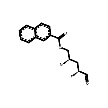 O=C[C@@H](F)C[C@@H](Br)COC(=O)c1ccc2ccccc2c1